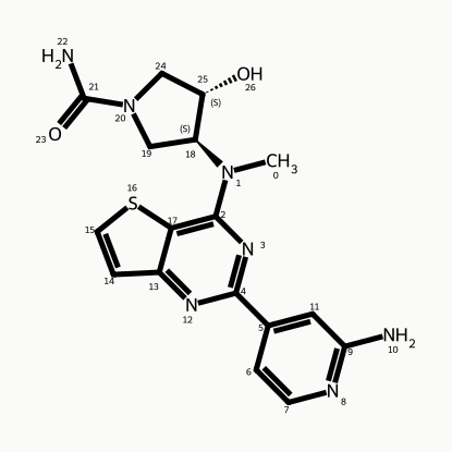 CN(c1nc(-c2ccnc(N)c2)nc2ccsc12)[C@H]1CN(C(N)=O)C[C@@H]1O